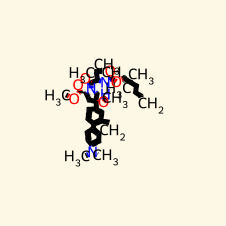 C=CCCC(C)(C)COC(=O)NC(C(=O)N1C[C@](OC)(c2ccc(-c3ccc(N(C)C)cc3)c(C=C)c2)C[C@H]1C(=O)OC)C(C)(C)C